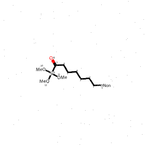 CCCCCCCCCCCCCCCC(=O)[Si](OC)(OC)OC